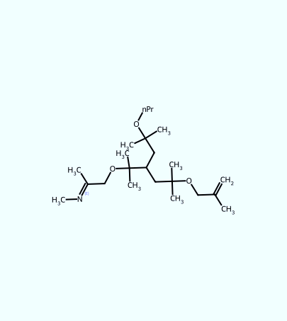 C=C(C)COC(C)(C)CC(CC(C)(C)OCCC)C(C)(C)OC/C(C)=N/C